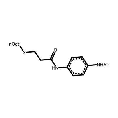 CCCCCCCCSCCC(=O)Nc1ccc(NC(C)=O)cc1